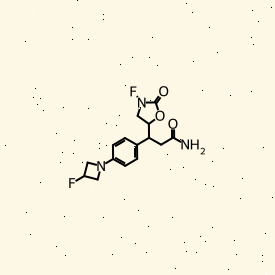 NC(=O)CC(c1ccc(N2CC(F)C2)cc1)C1CN(F)C(=O)O1